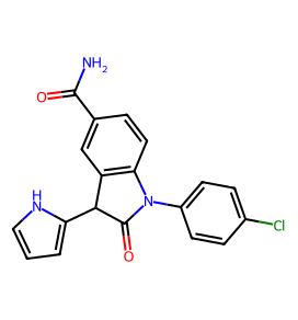 NC(=O)c1ccc2c(c1)C(c1ccc[nH]1)C(=O)N2c1ccc(Cl)cc1